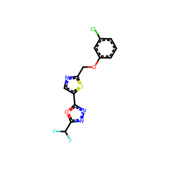 FC(F)c1nnc(-c2cnc(COc3cccc(Cl)c3)s2)o1